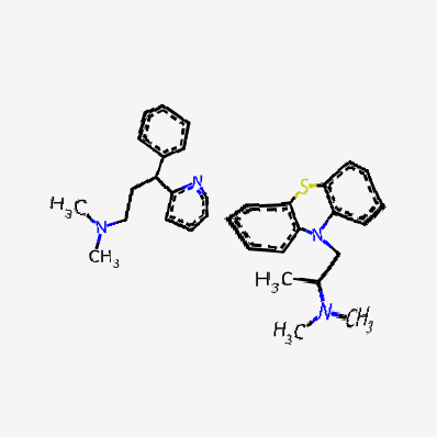 CC(CN1c2ccccc2Sc2ccccc21)N(C)C.CN(C)CCC(c1ccccc1)c1ccccn1